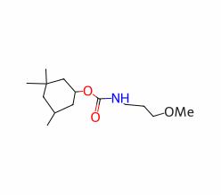 COCCCNC(=O)OC1CC(C)CC(C)(C)C1